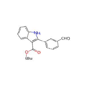 CC(C)(C)OC(=O)c1c(-c2cccc(C=O)c2)[nH]c2ccccc12